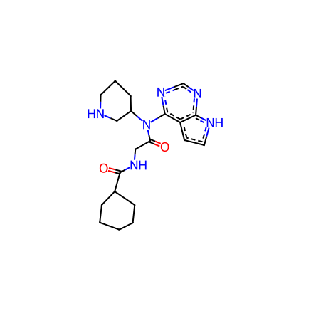 O=C(NCC(=O)N(c1ncnc2[nH]ccc12)C1CCCNC1)C1CCCCC1